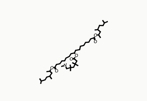 CC(C)CCC(C)CC(C)OC(=O)CCCCCCCC(CCCCCCCC(=O)OC(C)CC(C)CCC(C)C)OC(=O)CC(C)(C)CC(C)(C)CN(C)C